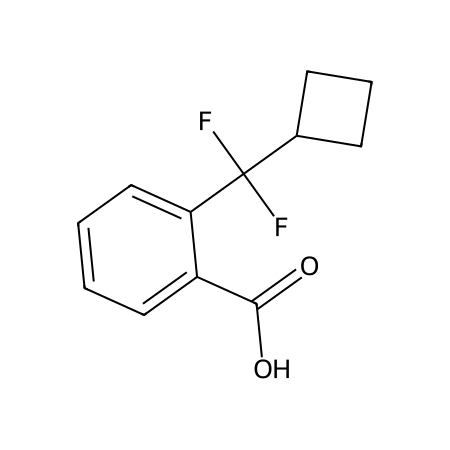 O=C(O)c1ccccc1C(F)(F)C1CCC1